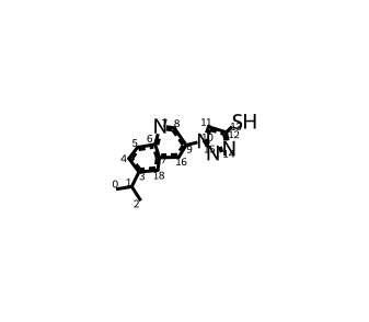 CC(C)c1ccc2ncc(-n3cc(S)nn3)cc2c1